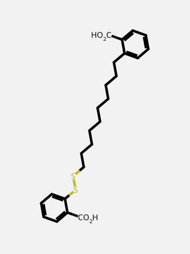 O=C(O)c1ccccc1CCCCCCCCCCSSc1ccccc1C(=O)O